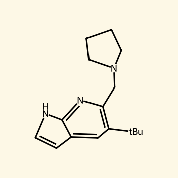 CC(C)(C)c1cc2cc[nH]c2nc1CN1CCCC1